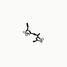 C#CC1CC(C(=C)C#CC2CC(C#C)CS(=O)(=O)O2)CS(=O)(=O)C1